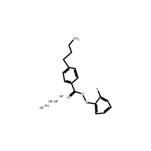 CCCCc1ccc(C(=O)OSc2ccccc2F)cc1.F.F.F.F.F